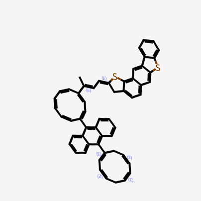 C/C(=C\C=C1/Cc2ccc3cc4sc5ccccc5c4cc3c2S1)c1ccccccc(-c2c3ccccc3c(/C3=C/C=C\C/C=C\C=C/C3)c3ccccc23)cc1